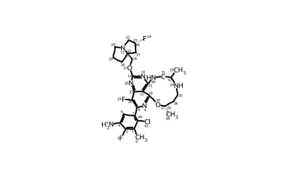 Cc1c(F)c(N)cc(-c2nc3c4c(nc(OC[C@@]56CCCN5C[C@H](F)C6)nc4c2F)NCC(C)NCC[C@H](C)O3)c1Cl